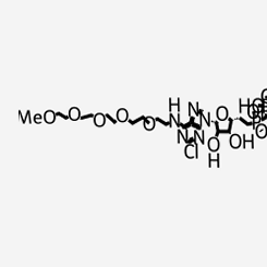 COCCOCCOCCOCCOCCNc1nc(Cl)nc2c1ncn2[C@@H]1O[C@H](CCP(=O)(O)CP(=O)(O)O)[C@H](O)C1O